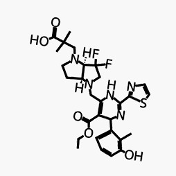 CCOC(=O)C1=C(CN2CC(F)(F)[C@H]3[C@@H]2CCN3CC(C)(C)C(=O)O)NC(c2nccs2)=NC1c1cccc(O)c1C